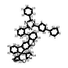 c1ccc(-c2ccc(-c3nc(-c4ccccc4)nc(-c4ccccc4-c4cccc5oc6cc7c(cc6c45)-c4ccccc4C74c5ccccc5Oc5ccccc54)n3)cc2)cc1